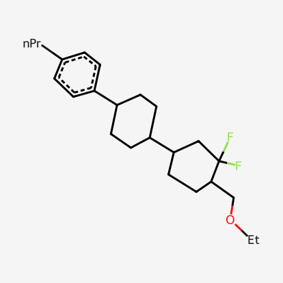 CCCc1ccc(C2CCC(C3CCC(COCC)C(F)(F)C3)CC2)cc1